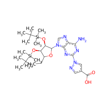 CCC1OC(n2cnc3c(N)nc(-n4cc(C(=O)O)cn4)nc32)[C@H](O[Si](C)(C)C(C)(C)C)[C@@H]1O[Si](C)(C)C(C)(C)C